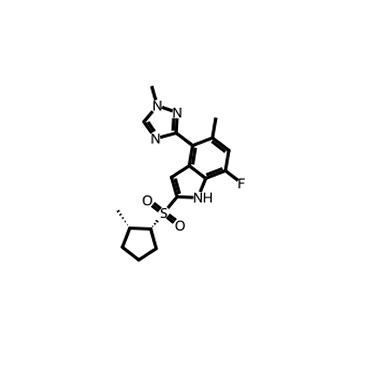 Cc1cc(F)c2[nH]c(S(=O)(=O)[C@@H]3CCC[C@@H]3C)cc2c1-c1ncn(C)n1